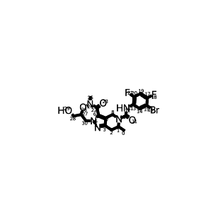 CC1Cc2nn3c(c2CN1C(=O)Nc1cc(Br)c(F)cc1F)C(=O)N(C)OC(CO)C3